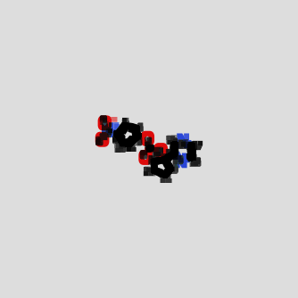 O=C(Oc1ccc([N+](=O)[O-])cc1)OC1(c2cnccn2)CCCC1